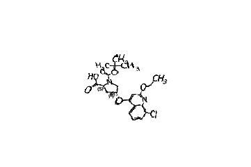 CCOc1cc(O[C@@H]2C[C@@H](C(=O)O)N(C(=O)OC(C)(C)C)C2)c2cccc(Cl)c2n1